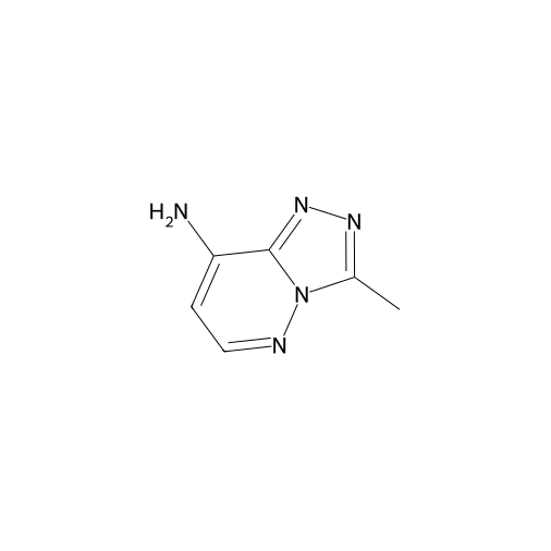 Cc1nnc2c(N)ccnn12